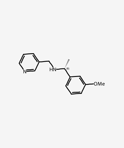 COc1cccc([C@@H](C)NCc2cccnc2)c1